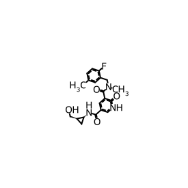 Cc1ccc(F)c(CN(C)C(=O)c2cc(C(=O)N[C@@H]3C[C@H]3CO)c[nH]c2=O)c1